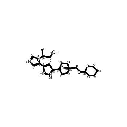 C[C@@H](CO)n1cncc1-c1cc(C23CCC(COC4CCCCO4)(CC2)CO3)n[nH]1